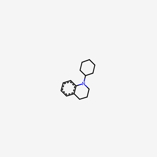 c1ccc2c(c1)CCCN2C1CCCCC1